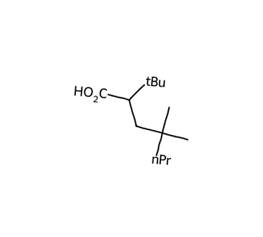 CCCC(C)(C)CC(C(=O)O)C(C)(C)C